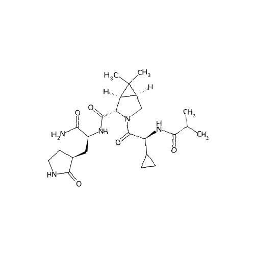 CC(C)C(=O)N[C@H](C(=O)N1C[C@H]2[C@@H]([C@H]1C(=O)N[C@@H](C[C@@H]1CCNC1=O)C(N)=O)C2(C)C)C1CC1